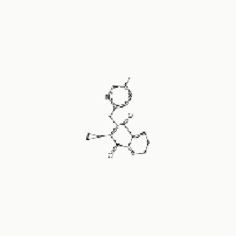 Cc1ccc(CC2=C(C3CC3)C(=O)C3=CCCC=C3C2=O)nc1